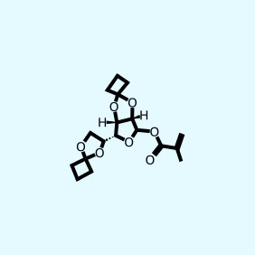 C=C(C)C(=O)OC1O[C@H](C2COC3(CCC3)O2)[C@@H]2OC3(CCC3)O[C@H]12